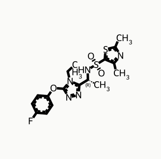 CCn1c(Oc2ccc(F)cc2)nnc1[C@@H](C)NS(=O)(=O)c1sc(C)nc1C